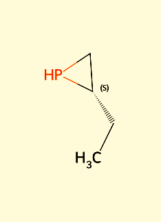 CC[C@H]1CP1